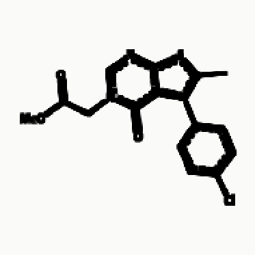 COC(=O)Cn1cnc2sc(C)c(-c3ccc(Cl)cc3)c2c1=O